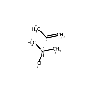 C=CC.C[SiH](C)Cl